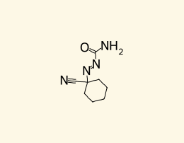 N#CC1(N=NC(N)=O)CCCCC1